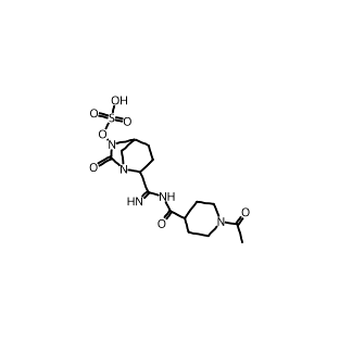 CC(=O)N1CCC(C(=O)NC(=N)C2CCC3CN2C(=O)N3OS(=O)(=O)O)CC1